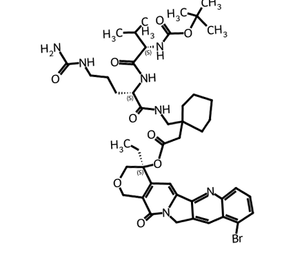 CC[C@@]1(OC(=O)CC2(CNC(=O)[C@H](CCCNC(N)=O)NC(=O)[C@@H](NC(=O)OC(C)(C)C)C(C)C)CCCCC2)COCc2c1cc1n(c2=O)Cc2cc3c(Br)cccc3nc2-1